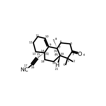 CC1(C)C(=O)CC[C@]2(C)C3=CCCC[C@]3(C#CC#N)CC[C@@H]12